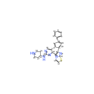 c1ccc(-c2ccc(-c3nc4sccn4c3-c3ccnc(NC4CCNCC4)n3)cc2)cc1